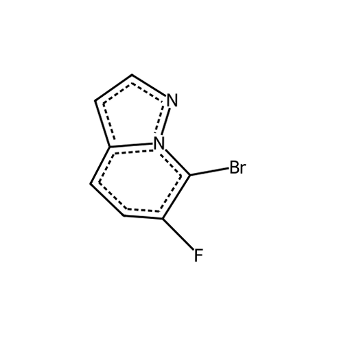 Fc1ccc2ccnn2c1Br